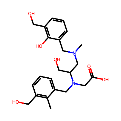 Cc1c(CO)cccc1CN(CC(=O)O)C(CO)CN(C)Cc1cccc(CO)c1O